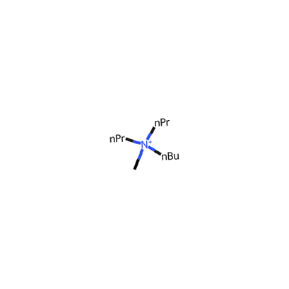 CCCC[N+](C)(CCC)CCC